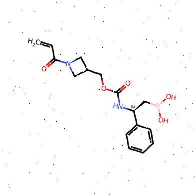 C=CC(=O)N1CC(COC(=O)N[C@@H](CB(O)O)c2ccccc2)C1